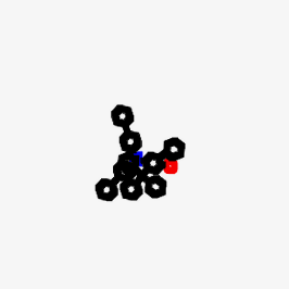 c1ccc(-c2ccc(N(c3ccc(-c4ccccc4)cc3)c3cc4c(cc3C3(c5ccccc5)c5ccccc5-c5ccccc53)oc3ccccc34)cc2)cc1